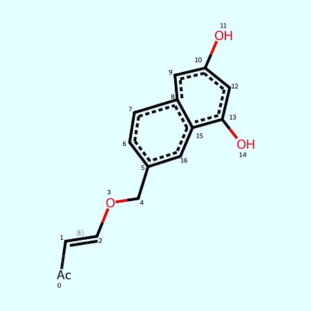 CC(=O)/C=C/OCc1ccc2cc(O)cc(O)c2c1